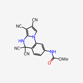 COC(=O)Nc1ccc2c(c1)-n1cc(C#N)c(C#N)c1NC2(C#N)C#N